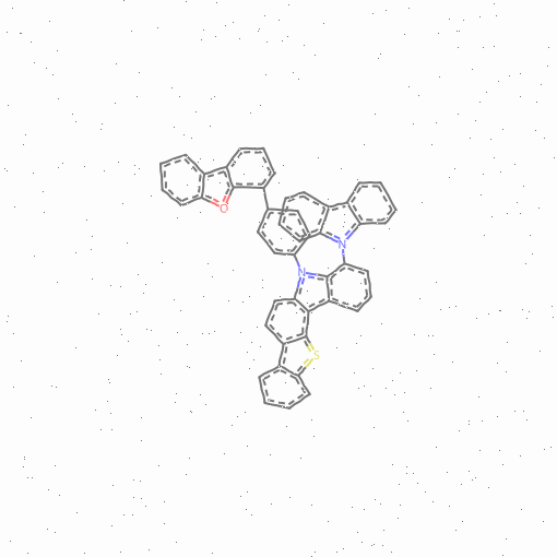 c1ccc2c(c1)oc1c(-c3ccc(-n4c5ccc6c7ccccc7sc6c5c5cccc(-n6c7ccccc7c7ccccc76)c54)cc3)cccc12